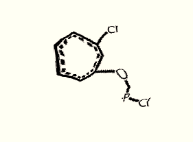 Cl[P]Oc1ccccc1Cl